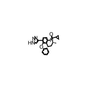 C[C@H]1CCc2c(ccc(-c3c[nH]nn3)c2Oc2ccccc2)N1C(=O)C1CC1